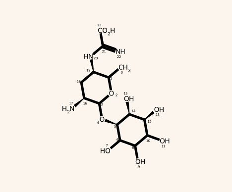 CC1OC(O[C@@H]2C(O)C(O)C(O)[C@H](O)[C@@H]2O)[C@@H](N)C[C@H]1NC(=N)C(=O)O